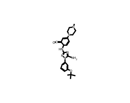 CN1CCN(C2=CC(=C=O)C(Nc3nc(N)n(-c4cccc(OC(C)(C)C)c4)n3)C=C2)CC1